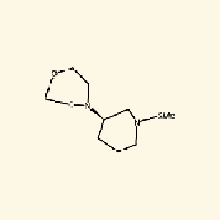 CSN1CCC[C@@H](N2CCOCC2)C1